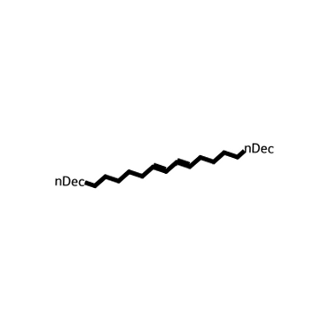 CCCCCCCCCCCCCC/C=[C]/C=CCCCCCCCCCCCCCCC